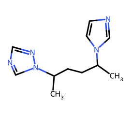 CC(CCC(C)n1cncn1)n1ccnc1